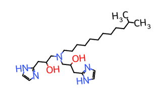 CC(C)CCCCCCCCCCN(CC(O)Cc1ncc[nH]1)CC(O)Cc1ncc[nH]1